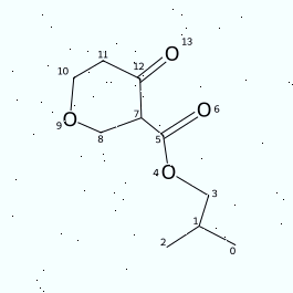 CC(C)COC(=O)C1COCCC1=O